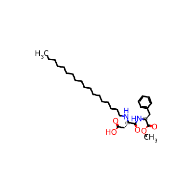 CCCCCCCCCCCCCCCCCCN[C@@H](CC(=O)O)C(=O)N[C@@H](Cc1ccccc1)C(=O)OC